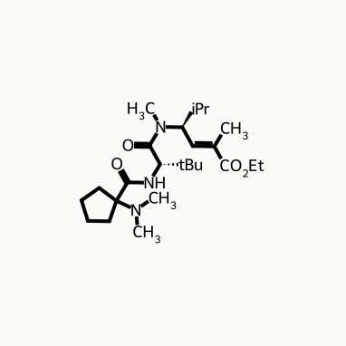 CCOC(=O)/C(C)=C/[C@H](C(C)C)N(C)C(=O)[C@@H](NC(=O)C1(N(C)C)CCCC1)C(C)(C)C